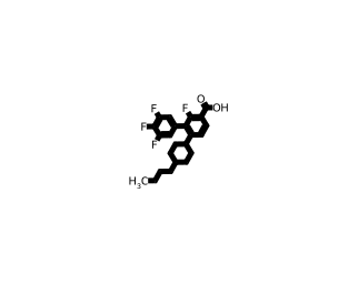 CCCCC1CCC(c2ccc(C(=O)O)c(F)c2-c2cc(F)c(F)c(F)c2)CC1